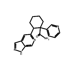 NC(=O)C1(c2cccnc2)CCCCC1c1cc2cn[nH]c2cn1